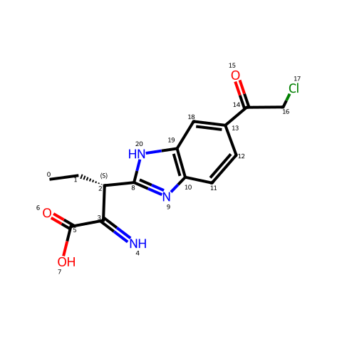 CC[C@@H](C(=N)C(=O)O)c1nc2ccc(C(=O)CCl)cc2[nH]1